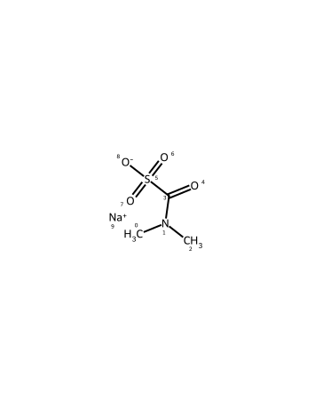 CN(C)C(=O)S(=O)(=O)[O-].[Na+]